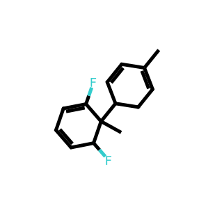 CC1=CCC(C2(C)C(F)=CC=CC2F)C=C1